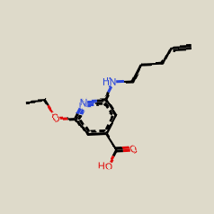 C=CCCCNc1cc(C(=O)O)cc(OCC)n1